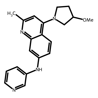 COC1CCN(c2cc(C)nc3cc(Nc4cccnc4)ccc23)C1